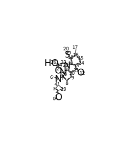 CO[C@H]1C[C@@H](N(C)c2ccc3c(=O)c4ccc(C)c(SC)c4n(CC(=O)O)c3n2)C1